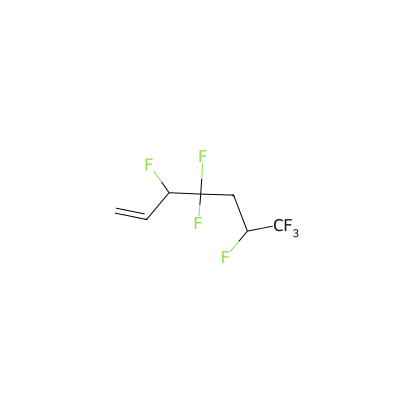 C=CC(F)C(F)(F)CC(F)C(F)(F)F